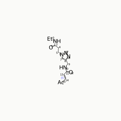 CCNC(=O)CCn1cc(CNC(=O)/C=C/C(C)=O)nn1